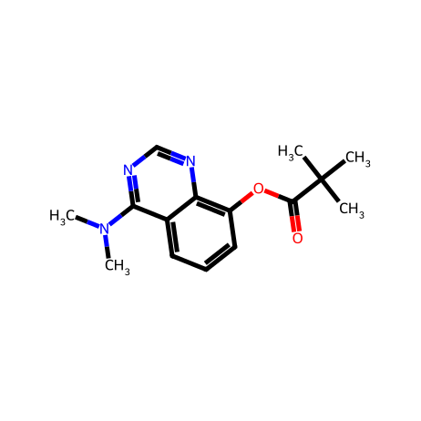 CN(C)c1ncnc2c(OC(=O)C(C)(C)C)cccc12